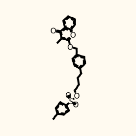 Cc1ccc(S(=O)(=O)OCCCCc2ccc(COc3oc4ccccc4c(=O)c3C)cc2)cc1